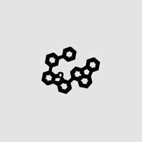 c1ccc(-c2cccc(-c3cccc4c3oc3c(-c5ccc6c7c(cccc57)-c5ccccc5-6)cccc34)c2)cc1